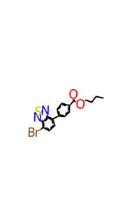 CCCCOC(=O)c1ccc(-c2ccc(Br)c3nsnc23)cc1